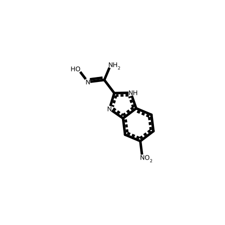 NC(=NO)c1nc2cc([N+](=O)[O-])ccc2[nH]1